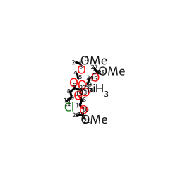 COC(C)OCCOC(CCCCl)C(O[SiH3])(OCCOC(C)OC)OCCOC(C)OC